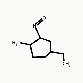 CCC1CCC(C)C(N=O)C1